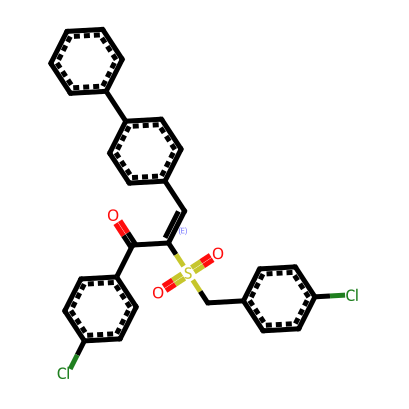 O=C(/C(=C\c1ccc(-c2ccccc2)cc1)S(=O)(=O)Cc1ccc(Cl)cc1)c1ccc(Cl)cc1